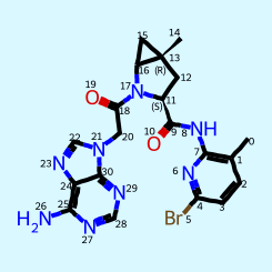 Cc1ccc(Br)nc1NC(=O)[C@@H]1C[C@@]2(C)CC2N1C(=O)Cn1cnc2c(N)ncnc21